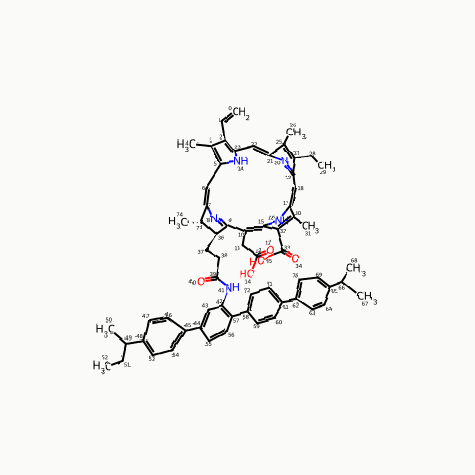 C=Cc1c(C)c2cc3nc(c(CC(=O)O)c4[nH]c(cc5nc(cc1[nH]2)C(C)=C5CC)c(C)c4C(=O)O)[C@@H](CCC(=O)Nc1cc(-c2ccc(C(C)CC)cc2)ccc1-c1ccc(-c2ccc(C(C)C)cc2)cc1)[C@@H]3C